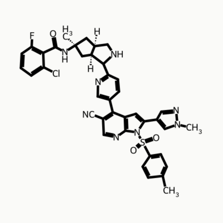 Cc1ccc(S(=O)(=O)n2c(-c3cnn(C)c3)cc3c(-c4ccc(C5NC[C@@H]6C[C@](C)(NC(=O)c7c(F)cccc7Cl)C[C@H]56)nc4)c(C#N)cnc32)cc1